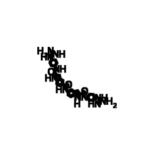 N=C(N)NC1CCC(NC(=O)c2cc3cc(NC(=O)c4ccc5[nH]c(C(=O)NC6CCC(NC(=N)N)CC6)cc5c4)ccc3[nH]2)CC1